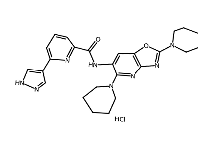 Cl.O=C(Nc1cc2oc(N3CCCCC3)nc2nc1N1CCCCC1)c1cccc(-c2cn[nH]c2)n1